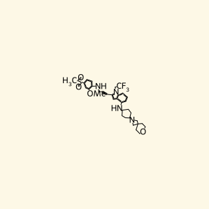 COc1cc(S(C)(=O)=O)ccc1NCC#Cc1cc2c(N[C@H]3CC[C@@H](N4CC5(CCOCC5)C4)CC3)cccc2n1CC(F)(F)F